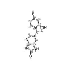 O=c1[nH]c2cc(-c3c[nH]c4cc(F)ccc34)cnc2[nH]1